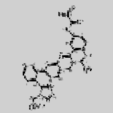 CCCNC(=O)Oc1ccc2nc(CCC)n(Cc3ccc(-c4ccccc4-c4nnnn4COC)cc3)c(=O)c2c1